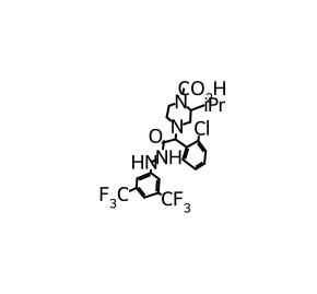 CC(C)C1CN(C(C(=O)NNc2cc(C(F)(F)F)cc(C(F)(F)F)c2)c2ccccc2Cl)CCN1C(=O)O